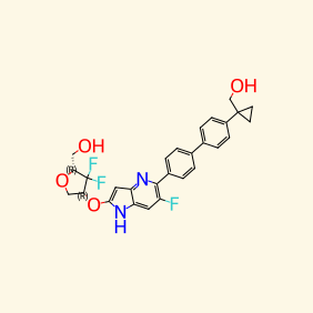 OC[C@H]1OC[C@@H](Oc2cc3nc(-c4ccc(-c5ccc(C6(CO)CC6)cc5)cc4)c(F)cc3[nH]2)C1(F)F